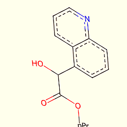 CCCOC(=O)C(O)c1cccc2ncccc12